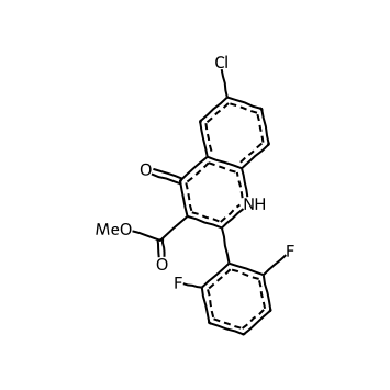 COC(=O)c1c(-c2c(F)cccc2F)[nH]c2ccc(Cl)cc2c1=O